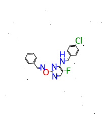 Fc1cnc(ON=Cc2ccccc2)nc1NCc1ccc(Cl)cc1